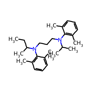 CCC(C)N(CCCN(c1c(C)cccc1C)C(C)C)c1c(C)cccc1C